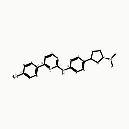 CN(C)[C@@H]1CCC(c2ccc(Nc3nccc(-c4ccc(N)cc4)n3)cc2)C1